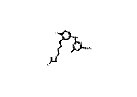 CCc1ccc(Nc2nc(C)cc(NC)n2)cc1CCCCN1CC(O)C1